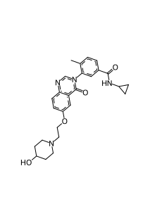 Cc1ccc(C(=O)NC2CC2)cc1-n1cnc2ccc(OCCN3CCC(O)CC3)cc2c1=O